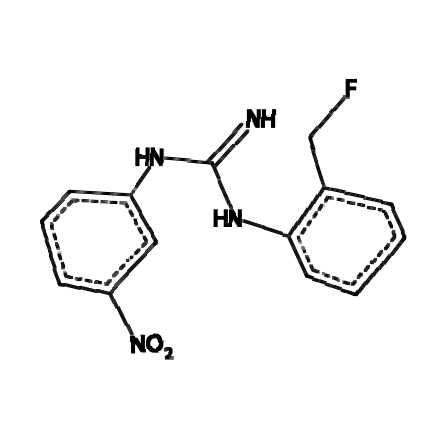 N=C(Nc1cccc([N+](=O)[O-])c1)Nc1ccccc1CF